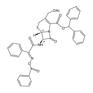 CC(=O)OCC1=C(C(=O)OC(c2ccccc2)c2ccccc2)N2C(=O)[C@@H](NC(=O)C(=NOC(=O)c3ccccc3)c3ccccc3)[C@@H]2SC1